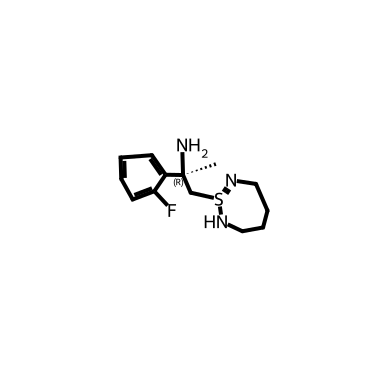 C[C@](N)(CS1=NCCCCN1)c1ccccc1F